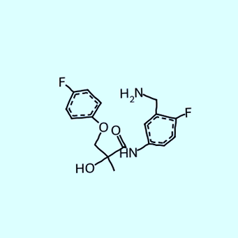 CC(O)(COc1ccc(F)cc1)C(=O)Nc1ccc(F)c(CN)c1